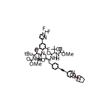 COC(=O)NC(C(=O)N[C@@H](Cc1ccc(C#Cc2ccc(N3CC4CCC(C3)N4C3COC3)nc2)cc1)[C@@H](O)CN(NC(=O)[C@@H](NC(=O)OC)C(C)(C)C)c1c(F)cc(-c2ccn(C(F)F)n2)cc1F)C(C)(C)C(F)(F)F